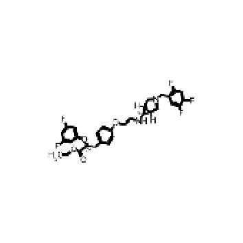 CCOC(=O)[C@H](Cc1ccc(OCCN[C@H]2[C@@H]3CN(Cc4cc(F)c(F)cc4F)C[C@@H]32)cc1)Oc1cc(F)cc(F)c1